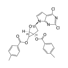 Cc1ccc(C(=O)OC2[C@H]3O[C@@H](n4ccc5c(Cl)nc(Cl)nc54)C[C@@]23OC(=O)c2ccc(C)cc2)cc1